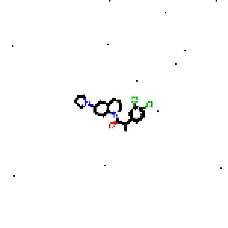 CC(C(=O)N1CCCC2CC(N3CCCC3)CCC21)c1ccc(Cl)c(Cl)c1